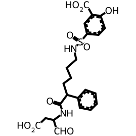 O=CC(CC(=O)O)NC(=O)C(CCCCNS(=O)(=O)c1ccc(O)c(C(=O)O)c1)c1ccccc1